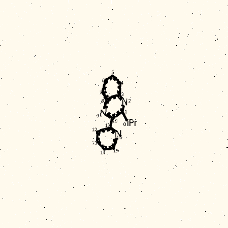 CC(C)c1nc2ccccc2nc1-c1ccccn1